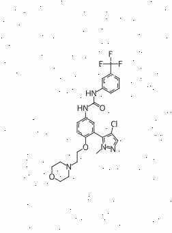 Cn1ncc(Cl)c1-c1cc(NC(=O)Nc2cccc(C(F)(F)F)c2)ccc1OCCN1CCOCC1